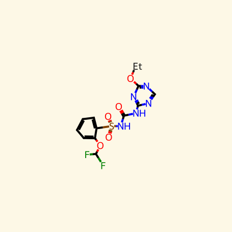 CCOc1ncnc(NC(=O)NS(=O)(=O)c2ccccc2OC(F)F)n1